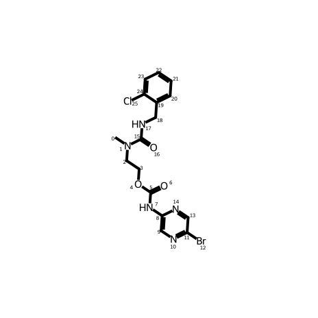 CN(CCOC(=O)Nc1cnc(Br)cn1)C(=O)NCc1ccccc1Cl